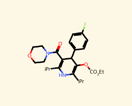 CCOC(=O)OC1=C(C(C)C)NC(C(C)C)=C(C(=O)N2CCOCC2)C1c1ccc(F)cc1